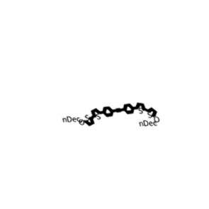 CCCCCCCCCCOc1ccc(-c2ccc(-c3ccc(C#Cc4ccc(-c5ccc(-c6ccc(OCCCCCCCCCC)s6)s5)cc4)cc3)s2)s1